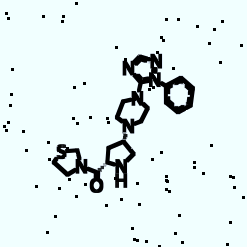 O=C([C@@H]1C[C@H](N2CCN(c3ncnn3-c3ccccc3)CC2)CN1)N1CCSC1